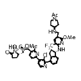 COc1nc(-c2ccnc(-c3cccc4c3CC[C@@H]4Nc3nc(OC)c(CNC4CCN(C(C)=O)CC4)cc3C(F)(F)F)c2Cl)ccc1CN(C[C@@H]1CCC(=O)N1)C(=O)O